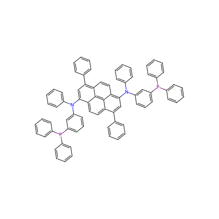 c1ccc(-c2cc(N(c3ccccc3)c3cccc(P(c4ccccc4)c4ccccc4)c3)c3ccc4c(-c5ccccc5)cc(N(c5ccccc5)c5cccc(P(c6ccccc6)c6ccccc6)c5)c5ccc2c3c45)cc1